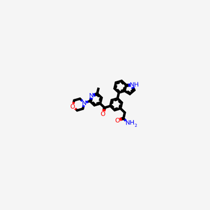 Cc1cc(C(=O)c2cc(CC(N)=O)cc(-c3cccc4[nH]ccc34)c2)cc(N2CCOCC2)n1